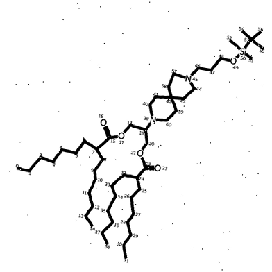 CCCCCCCC(CCCCCCC)C(=O)OCC(COC(=O)C(CCCCCCC)CCCCCCC)N1CCC2(CCN(CCCO[Si](C)(C)C(C)(C)C)CC2)CC1